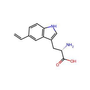 C=Cc1ccc2[nH]cc(C[C@H](N)C(=O)O)c2c1